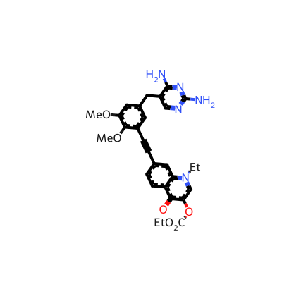 CCOC(=O)Oc1cn(CC)c2cc(C#Cc3cc(Cc4cnc(N)nc4N)cc(OC)c3OC)ccc2c1=O